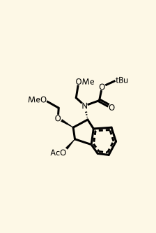 COCO[C@@H]1[C@H](OC(C)=O)c2ccccc2[C@H]1N(COC)C(=O)OC(C)(C)C